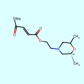 COC(=O)/C=C/C(=O)OCCN1CC(C)O[C@H](C)C1